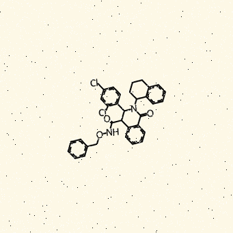 O=C(NOCc1ccccc1)C1c2ccccc2C(=O)N(C2CCCc3ccccc32)C1c1ccc(Cl)cc1Cl